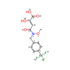 CON(Cc1ccc(C(F)(F)F)cc1)C(=O)/C=C(\O)C(=O)O